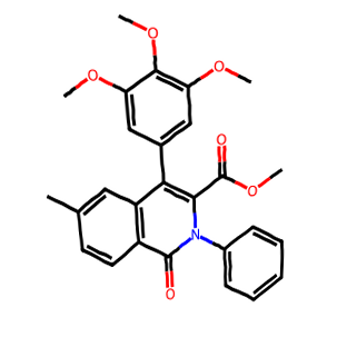 COC(=O)c1c(-c2cc(OC)c(OC)c(OC)c2)c2cc(C)ccc2c(=O)n1-c1ccccc1